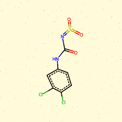 O=C(N=S(=O)=O)Nc1ccc(Cl)c(Cl)c1